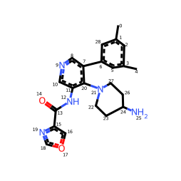 Cc1cc(C)cc(-c2cncc(NC(=O)c3cocn3)c2N2CCC(N)CC2)c1